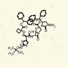 C[C@@H]1CN(N)C(=O)N1[C@]1(C(=O)OC(c2ccccc2)c2ccccc2)CN2C(=O)[C@@H](NC(=O)/C(=N\OC3(C(=O)OC(c4ccccc4)c4ccccc4)CCC3)c3csc(NOC(C)(C)C)n3)[C@H]2S1